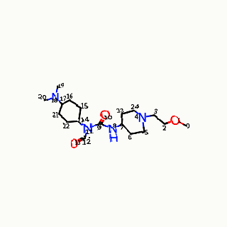 COCCN1CCC(NC(=O)N([C]=O)C2CCC(N(C)C)CC2)CC1